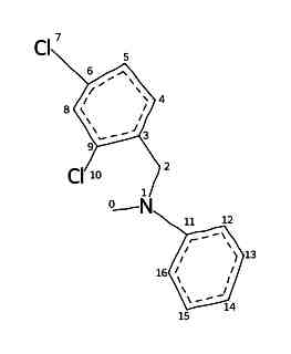 CN(Cc1ccc(Cl)cc1Cl)c1ccccc1